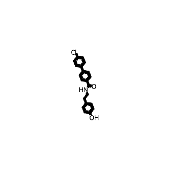 O=C(NCCc1ccc(O)cc1)c1ccc(-c2ccc(Cl)cc2)cc1